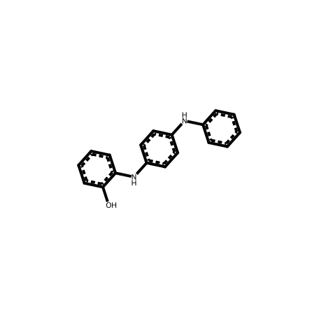 Oc1ccccc1Nc1ccc(Nc2ccccc2)cc1